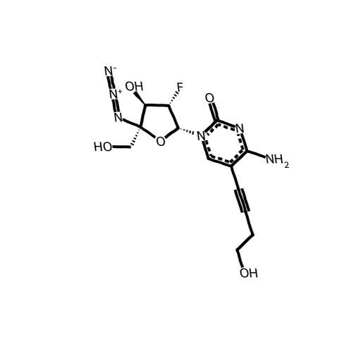 [N-]=[N+]=N[C@]1(CO)O[C@@H](n2cc(C#CCCO)c(N)nc2=O)[C@@H](F)[C@@H]1O